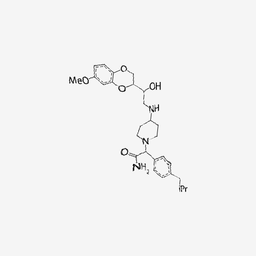 COc1ccc2c(c1)OC(C(O)CNC1CCN(C(C(N)=O)c3ccc(CC(C)C)cc3)CC1)CO2